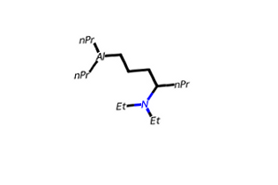 CCCC(CC[CH2][Al]([CH2]CC)[CH2]CC)N(CC)CC